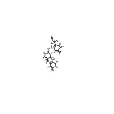 C#CC(C)(CCCc1ccc(F)c(Oc2ccc(F)cc2)c1)c1ccc(F)cc1